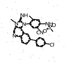 Cc1cc(NS(C)(=O)=O)c(C#N)cc1-n1c(=N)n(C)c2cnc3ccc(-c4ccc(Cl)cc4)cc3c21